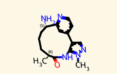 C[C@@H]1CCC[C@H](N)c2cc(ccn2)-c2cnn(C)c2NC1=O